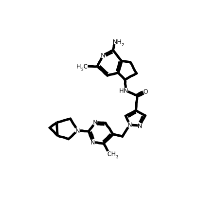 Cc1cc2c(c(N)n1)CCC2NC(=O)c1cnn(Cc2cnc(N3CC4CC4C3)nc2C)c1